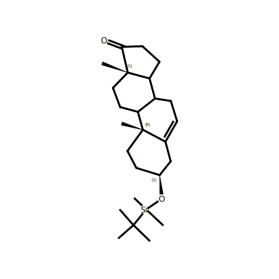 CC(C)(C)[Si](C)(C)O[C@H]1CC[C@@]2(C)C(=CCC3C2CC[C@]2(C)C(=O)CCC32)C1